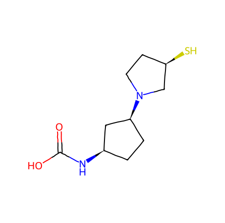 O=C(O)N[C@@H]1CC[C@H](N2CC[C@@H](S)C2)C1